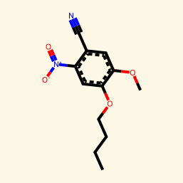 CCCCOc1cc([N+](=O)[O-])c(C#N)cc1OC